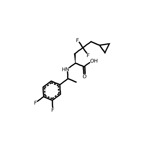 CC(N[C@@H](CC(F)(F)CC1CC1)C(=O)O)c1ccc(F)c(F)c1